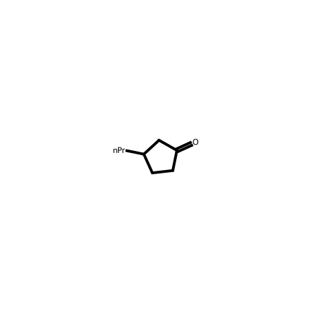 [CH2]CCC1CCC(=O)C1